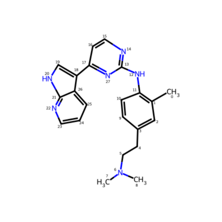 Cc1cc(CCN(C)C)ccc1Nc1nccc(-c2c[nH]c3ncccc23)n1